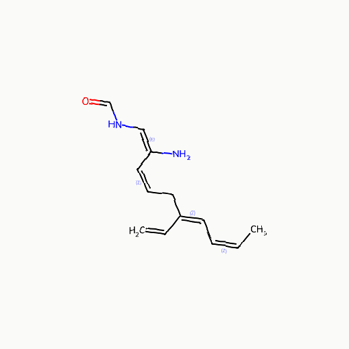 C=C/C(=C\C=C/C)C/C=C\C(N)=C/NC=O